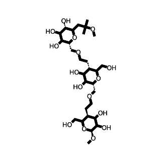 CO[C@H]1OC(CO)[C@@H](CCOC[C@H]2OC(CO)[C@@H](CCOC[C@H]3OC(CC(C)(C)OC)[C@@H](O)C(O)C3O)C(O)C2O)C(O)C1O